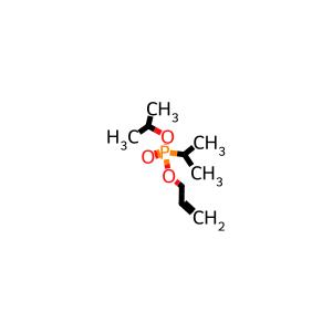 C=CCOP(=O)(OC(C)C)C(C)C